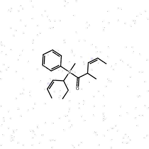 C/C=C\C(C)C(=O)[Si](C)(c1ccccc1)C(/C=C\C)CC